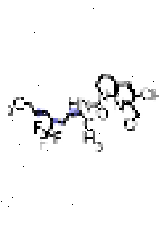 CC/C=C/C(=C\C=C(/C)NC(=O)N1CCCc2cc(C)c(C=O)nc21)C(F)(F)F